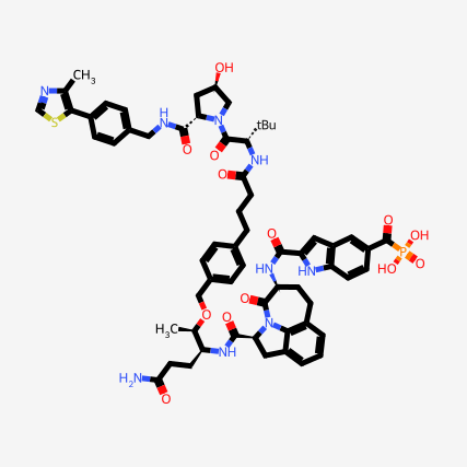 Cc1ncsc1-c1ccc(CNC(=O)[C@@H]2C[C@@H](O)CN2C(=O)[C@@H](NC(=O)CCCc2ccc(CO[C@H](C)[C@H](CCC(N)=O)NC(=O)[C@@H]3Cc4cccc5c4N3C(=O)[C@@H](NC(=O)c3cc4cc(C(=O)P(=O)(O)O)ccc4[nH]3)CC5)cc2)C(C)(C)C)cc1